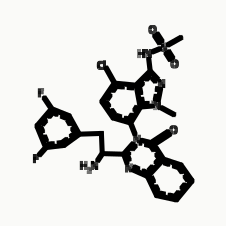 Cn1nc(NS(C)(=O)=O)c2c(Cl)ccc(-n3c(C(N)Cc4cc(F)cc(F)c4)nc4ccccc4c3=O)c21